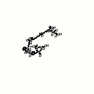 O=CCN1CCN(CC(=O)O)CCN(CC(=O)O)CC1Cc1ccc(NC(=S)NC(Cc2ccccc2)C(=O)NCCCCC(NC(=O)CCCCCCC(=O)NCCCC[C@H](NC(=O)N[C@H](C=O)CCC(=O)O)C(=O)O)C(=O)O)cc1